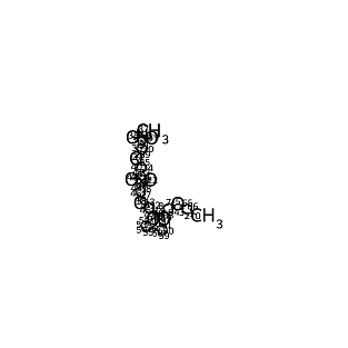 Cc1ccc(Oc2ccc(C(c3ccc(Oc4ccc(N5C(=O)c6ccc(Oc7ccc8c(c7)C(=O)N(C)C8=O)cc6C5=O)cc4)cc3)P3(=O)Oc4ccccc4-c4ccccc43)cc2)cc1